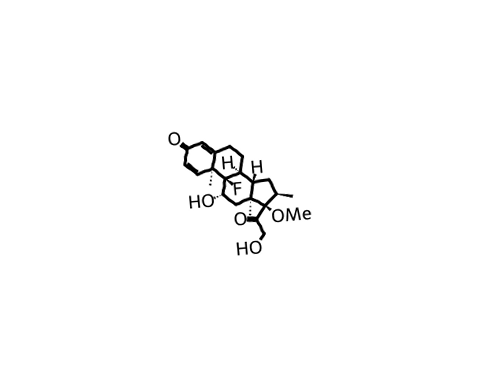 CO[C@]1(C(=O)CO)[C@H](C)C[C@H]2[C@@H]3CCC4=CC(=O)C=C[C@]4(C)[C@@]3(F)[C@@H](O)C[C@@]21C